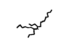 CCCCCCCCC([CH]C(CCC)CCCCCC)CCC